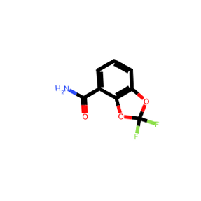 NC(=O)c1cccc2c1OC(F)(F)O2